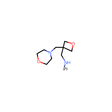 CC(C)NCC1(CN2CCOCC2)COC1